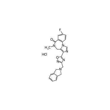 CN1Cc2c(-c3nc(CN4Cc5ccccc5C4)no3)ncn2-c2ccc(F)cc2C1=O.Cl